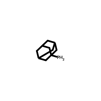 PC12CC3CC(CC(C3)C1)C2